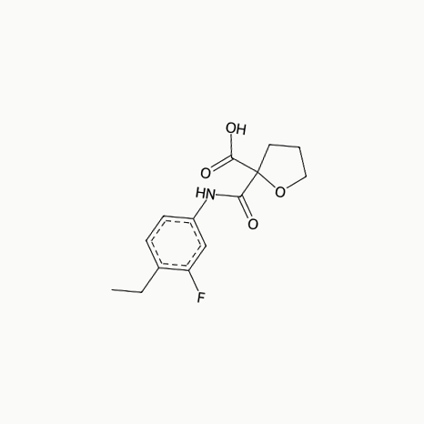 CCc1ccc(NC(=O)C2(C(=O)O)CCCO2)cc1F